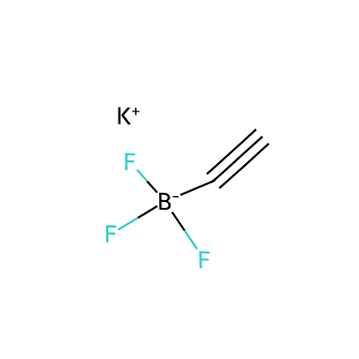 C#C[B-](F)(F)F.[K+]